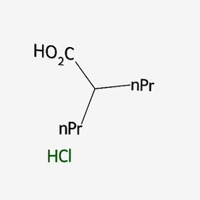 CCCC(CCC)C(=O)O.Cl